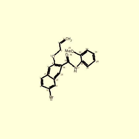 C=CCOc1cc2ccc(Br)cc2cc1C(=O)Nc1ccccc1OC